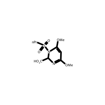 CCCS(=O)(=O)N1C(OC)=CC(OC)=NC1C(=O)O